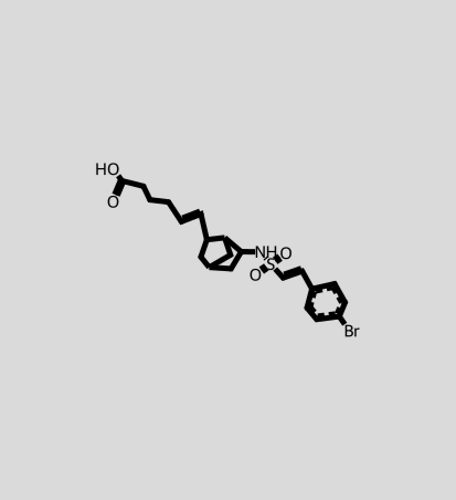 O=C(O)CCC/C=C/C1CC2CC(NS(=O)(=O)/C=C/c3ccc(Br)cc3)C1C2